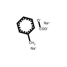 Cc1ccccc1.O=C([O-])[O-].[Na+].[Na+]